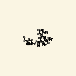 C=Nc1c(NCCC(=C)/C=C\C(O)=C/C)cc(-n2ccnc2CC)nc1N(C)C(C)C